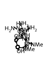 CNCCC[C@@H]1NC(=O)[C@@H](NC)Cc2cc(ccc2O)-c2ccc(O)c(c2)C[C@@H](C(=O)N[C@@H](CCCN)C(=O)N[C@@H](CCN)C(=O)NCCN)NC1=O